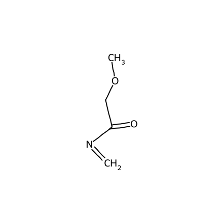 C=NC(=O)COC